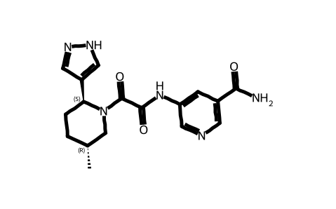 C[C@@H]1CC[C@@H](c2cn[nH]c2)N(C(=O)C(=O)Nc2cncc(C(N)=O)c2)C1